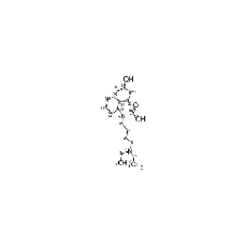 CCN(CC)CCCCN(C(=O)O)c1ccnc2cc(O)ccc12